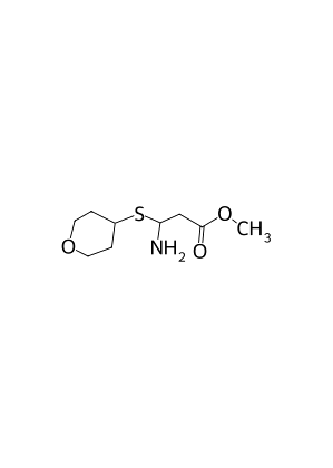 COC(=O)CC(N)SC1CCOCC1